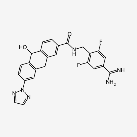 N=C(N)c1cc(F)c(CNC(=O)c2ccc3c(c2)Cc2cc(-n4nccn4)ccc2C3O)c(F)c1